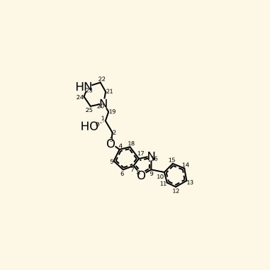 O[C@@H](COc1ccc2oc(-c3ccccc3)nc2c1)CN1CCNCC1